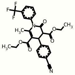 CCOC(=O)C1=C(C)N(c2cccc(C(F)(F)F)c2)C(=O)C(C(=O)OCC)C1c1ccc(C#N)cc1